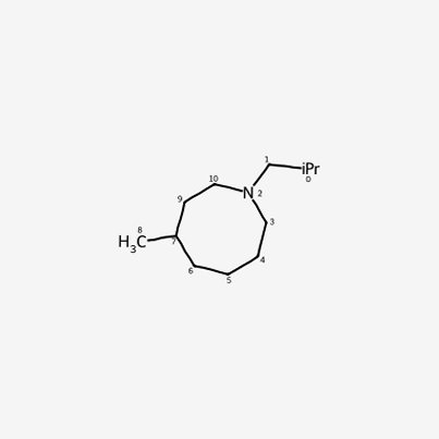 CC(C)CN1CCCCC(C)CC1